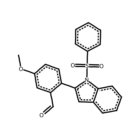 COc1ccc(-c2cc3ccccc3n2S(=O)(=O)c2ccccc2)c(C=O)c1